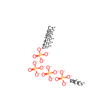 O=P([O-])([O-])[O-].O=P([O-])([O-])[O-].O=P([O-])([O-])[O-].O=P([O-])([O-])[O-].[Cs+].[Cs+].[Cs+].[Rb+].[Rb+].[Rb+].[Zn+2].[Zn+2].[Zn+2]